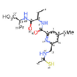 C/C=C(\NC(=O)c1cc(SC)cc(CNC(C)S)n1)C(=O)N[C@H](C(=O)O)C(C)C